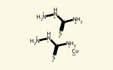 NNC(N)=S.NNC(N)=S.[Cu]